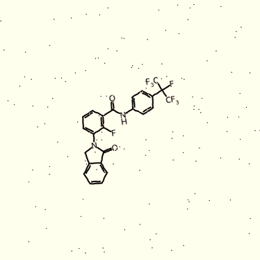 O=C(Nc1ccc(C(F)(C(F)(F)F)C(F)(F)F)cc1)c1cccc(N2Cc3ccccc3C2=O)c1F